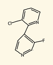 Fc1[c]nccc1-c1ncccc1Cl